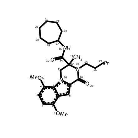 COc1ccc(OC)c2c1cc1n2CC(C)(C(=O)NC2CCCCCC2)N(CCC(C)C)C1=O